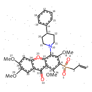 C=CCS(=O)(=O)c1c(OC)c(N2CCC(c3ccccc3)CC2)c2oc3cc(OC)c(OC)cc3c(=O)c2c1OC